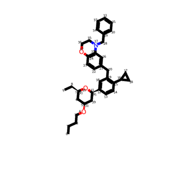 CCCCO[C@H]1C[C@@H](CC)O[C@@H](c2ccc(C3CC3)c(Cc3ccc4c(c3)N(Cc3ccccc3)CCO4)c2)C1